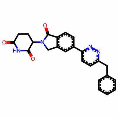 O=C1CCC(N2Cc3cc(-c4ccc(Cc5ccccc5)nn4)ccc3C2=O)C(=O)N1